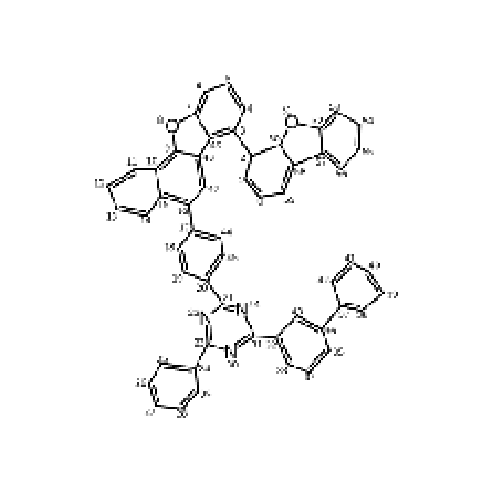 C1=CC(c2cccc3oc4c5ccccc5c(-c5ccc(-c6nc(-c7ccccc7)nc(-c7cccc(-c8ccccc8)c7)n6)cc5)cc4c23)C2Oc3ccccc3C2=C1